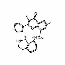 Cc1cc([C@@H](C)Nc2cccc3c2C(=O)NCC3)c2oc(-c3ccccc3)c(C)c(=O)c2c1